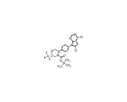 CC(C)(C)OC(=O)N1C[C@H](C(F)(F)F)OC[C@H]1c1ccc(-n2c(Cl)cc3c(Cl)ncnc32)cc1